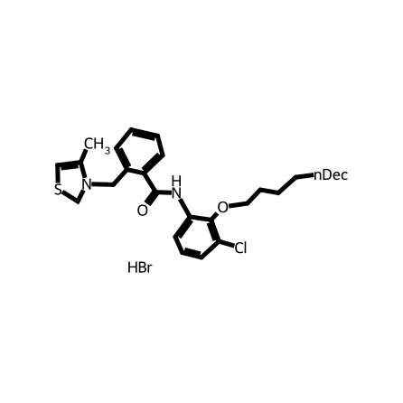 Br.CCCCCCCCCCCCCCOc1c(Cl)cccc1NC(=O)c1ccccc1CN1CSC=C1C